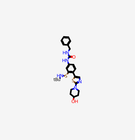 CC(C)(C)NSc1cc(NC(=O)NCc2ccccc2)ccc1-c1cnc(N2CCC(O)CC2)s1